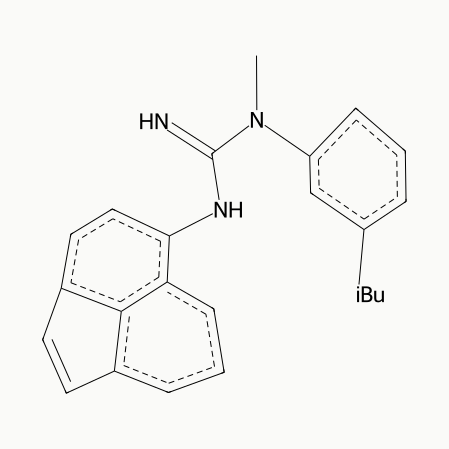 CCC(C)c1cccc(N(C)C(=N)Nc2ccc3c4c(cccc24)C=C3)c1